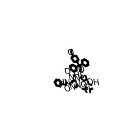 COc1ccc(C(OC[SH]2C[C@@H](O)[C@@H](O[Si](C(C)C)(C(C)C)C(C)C)[C@@H]2n2cnc3c(NC(=O)c4ccccc4)ncnc32)(c2ccccc2)c2ccc(OC)cc2)cc1